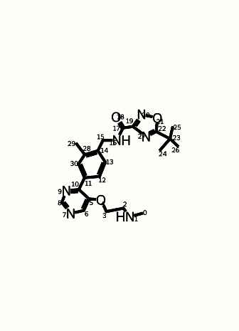 CNCCOc1cncnc1-c1ccc(CNC(=O)c2noc(C(C)(C)C)n2)c(C)c1